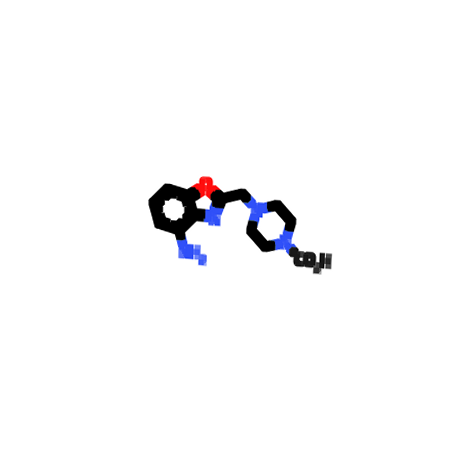 Nc1cccc2oc(CN3CCN(C(=O)O)CC3)nc12